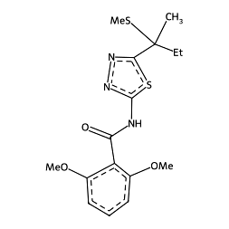 CCC(C)(SC)c1nnc(NC(=O)c2c(OC)cccc2OC)s1